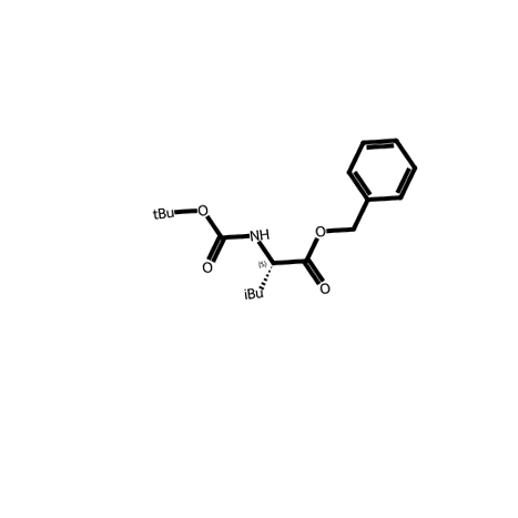 CCC(C)[C@H](NC(=O)OC(C)(C)C)C(=O)OCc1ccccc1